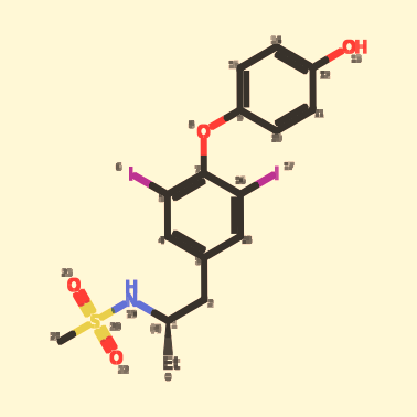 CC[C@H](Cc1cc(I)c(Oc2ccc(O)cc2)c(I)c1)NS(C)(=O)=O